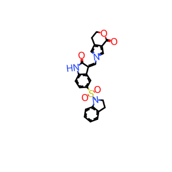 O=C1Nc2ccc(S(=O)(=O)N3CCc4ccccc43)cc2C1=Cn1cc2c(c1)C(=O)OCC2